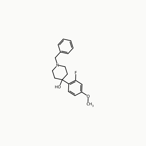 COc1ccc(C2(O)CCN(Cc3ccccc3)CC2)c(F)c1